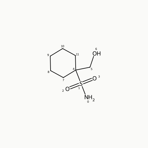 NS(=O)(=O)C1(CO)CCCCC1